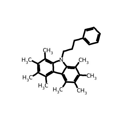 Cc1c(C)c(C)c2c(c1C)c1c(C)c(C)c(C)c(C)c1n2CCCc1ccccc1